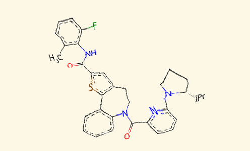 Cc1cccc(F)c1NC(=O)c1cc2c(s1)-c1ccccc1N(C(=O)c1cccc(N3CCC[C@@H]3C(C)C)n1)CC2